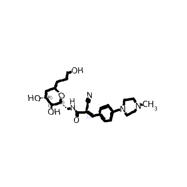 CN1CCN(c2ccc(/C=C(\C#N)C(=O)NC[C@H]3OC(CCCO)C[C@@H](O)[C@@H]3O)cc2)CC1